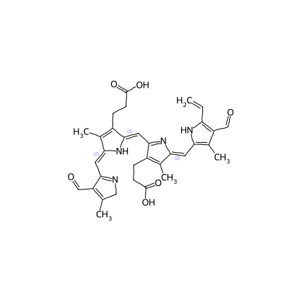 C=Cc1[nH]c(/C=C2N=C(/C=c3\[nH]/c(=C\C4=NCC(C)=C4C=O)c(C)c3CCC(=O)O)C(CCC(=O)O)=C\2C)c(C)c1C=O